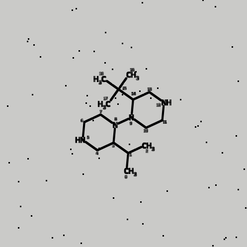 CC(C)C1CNCCN1N1CCNCC1C(C)(C)C